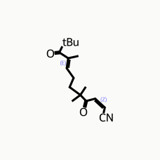 C/C(=C\CCC(C)(C)C(=O)/C=C\C#N)C(=O)C(C)(C)C